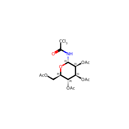 CC(=O)OC[C@H]1O[C@H](NC(=O)C(Cl)(Cl)Cl)[C@@H](OC(C)=O)[C@@H](OC(C)=O)[C@@H]1OC(C)=O